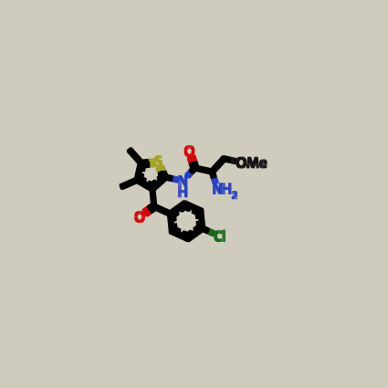 COCC(N)C(=O)Nc1sc(C)c(C)c1C(=O)c1ccc(Cl)cc1